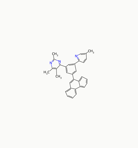 Cc1ccc(-c2cc(-c3nc(C)nc(C)c3C)cc(-c3cc4ccccc4c4ccccc34)c2)nc1